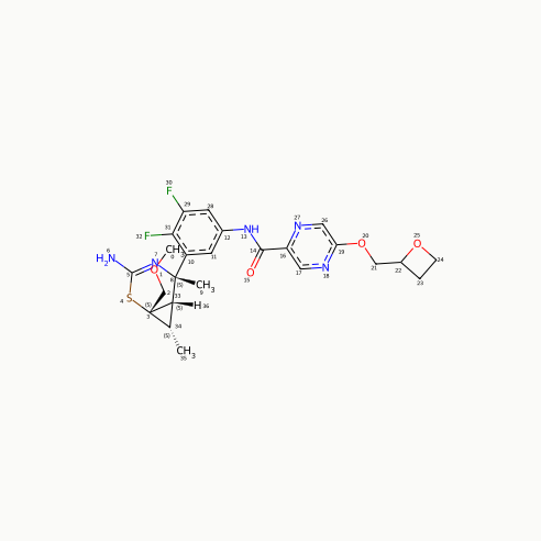 COC[C@@]12SC(N)=N[C@](C)(c3cc(NC(=O)c4cnc(OCC5CCO5)cn4)cc(F)c3F)[C@@H]1[C@@H]2C